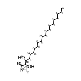 CCCCCCCCCCCCCCCCCCC(O)C(O)C(N)=O